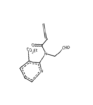 C=CC(=O)N(C[C]=O)c1ncccc1C(=O)OCC